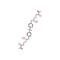 C=C(C)C(=O)OCCC(O)Oc1ccc(C(C)(C)c2ccc(OC(O)CCOC(=O)C(=C)C)cc2)cc1